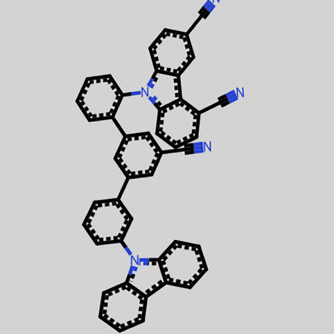 N#Cc1cc(-c2cccc(-n3c4ccccc4c4ccccc43)c2)cc(-c2ccccc2-n2c3ccc(C#N)cc3c3c(C#N)cccc32)c1